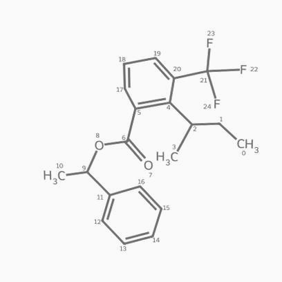 CCC(C)c1c(C(=O)OC(C)c2ccccc2)cccc1C(F)(F)F